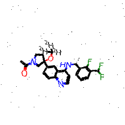 [2H]C([2H])([2H])O[C@]1(c2ccc3nccc(N[C@H](C)c4cccc(C(F)F)c4F)c3c2)CCN(C(C)=O)C1